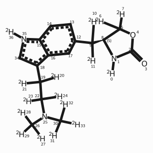 [2H]N1C(=O)OC([2H])([2H])[C@@H]1C([2H])([2H])c1ccc2c(c1)c(C([2H])([2H])C([2H])([2H])N(C([2H])([2H])[2H])C([2H])([2H])[2H])cn2[2H]